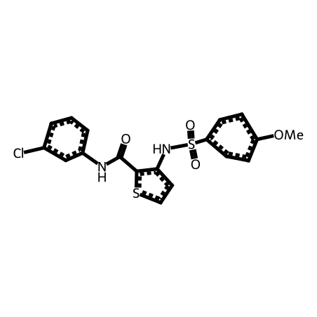 COc1ccc(S(=O)(=O)Nc2ccsc2C(=O)Nc2cccc(Cl)c2)cc1